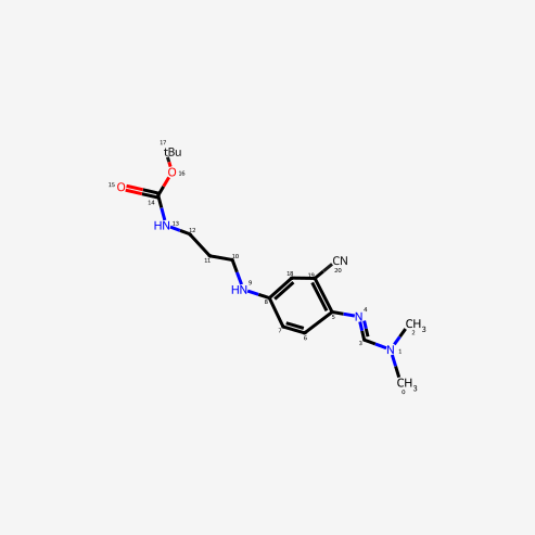 CN(C)C=Nc1ccc(NCCCNC(=O)OC(C)(C)C)cc1C#N